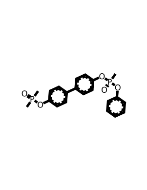 CP(C)(=O)Oc1ccc(-c2ccc(OP(C)(=O)Oc3ccccc3)cc2)cc1